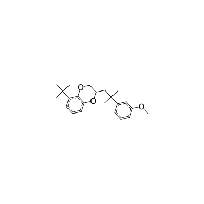 COc1cccc(C(C)(C)CC2COc3c(cccc3C(C)(C)C)O2)c1